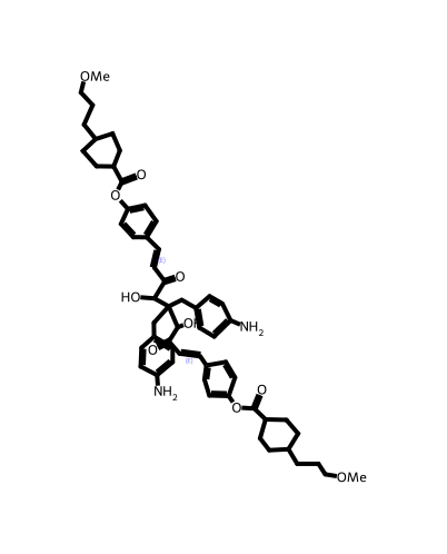 COCCCC1CCC(C(=O)Oc2ccc(/C=C/C(=O)C(O)C(Cc3ccc(N)cc3)(Cc3ccc(N)cc3)C(O)C(=O)/C=C/c3ccc(OC(=O)C4CCC(CCCOC)CC4)cc3)cc2)CC1